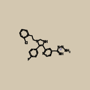 N=C(/N=N\N)c1ccnc(C2=C(c3ccc(F)cc3)N(CCc3ccccc3Cl)CN2)c1